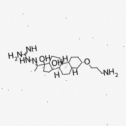 C/C(=N\NC(=N)N)[C@@]1(O)CC[C@]2(O)[C@@H]3CC[C@@H]4C[C@@H](OCCCN)CC[C@]4(C)[C@H]3CC[C@]12C